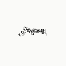 COC(=O)Cc1ccccc1OCC1CN(c2ccc(CNC(=N)N)cc2)C(=O)O1